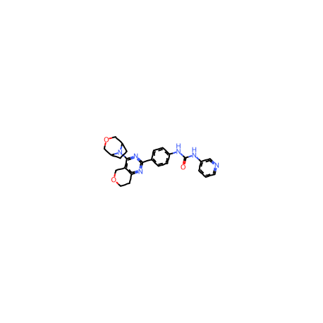 O=C(Nc1ccc(-c2nc3c(c(N4C5CCC4COC5)n2)COCC3)cc1)Nc1cccnc1